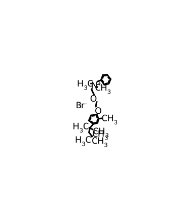 Cc1cc(C(C)(C)CC(C)(C)C)ccc1OCCOCC[N+](C)(C)Cc1ccccc1.[Br-]